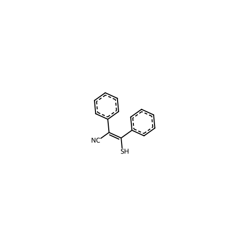 N#CC(=C(S)c1ccccc1)c1ccccc1